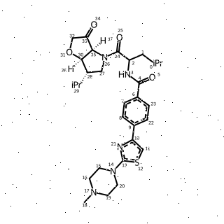 CC(C)CC(NC(=O)c1ccc(-c2csc(N3CCN(C)CC3)n2)cc1)C(=O)N1C[C@H](C(C)C)[C@H]2OCC(=O)[C@H]21